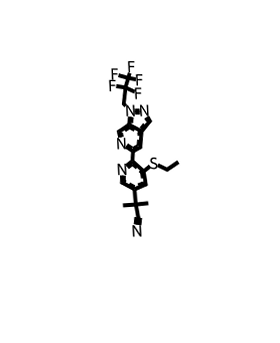 CCSc1cc(C(C)(C)C#N)cnc1-c1cc2cnn(CC(F)(F)C(F)(F)F)c2cn1